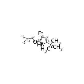 CC(C)(C)c1cc(F)c(OCC2CC2)[nH]1